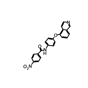 O=C(Nc1ccc(Oc2cccc3cnccc23)cc1)c1ccc([N+](=O)[O-])cc1